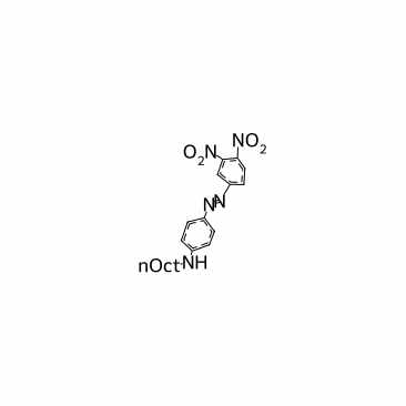 CCCCCCCCNc1ccc(/N=N/c2ccc([N+](=O)[O-])c([N+](=O)[O-])c2)cc1